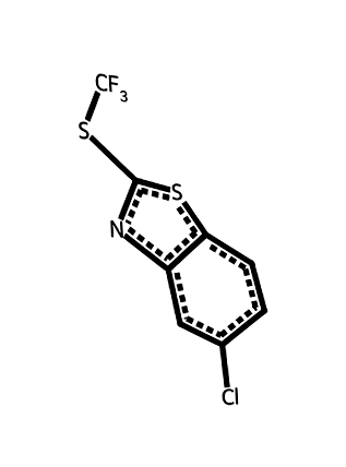 FC(F)(F)Sc1nc2cc(Cl)ccc2s1